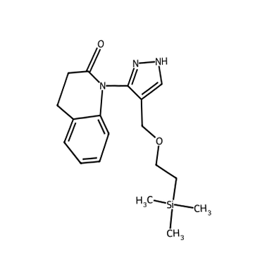 C[Si](C)(C)CCOCc1c[nH]nc1N1C(=O)CCc2ccccc21